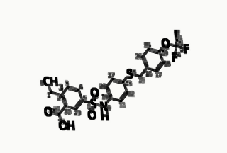 CCc1ccc(S(=O)(=O)Nc2ccc(SCc3ccc(OC(F)(F)F)cc3)cc2)cc1C(=O)O